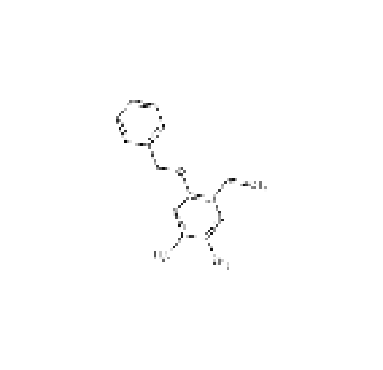 C=Cc1nc(C)c(C)nc1OCc1ccccc1